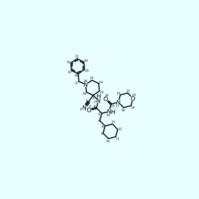 N#CC1(NC(=O)C(CC2CCCCC2)NC(=O)N2CCOCC2)CCCN(Cc2ccccc2)C1